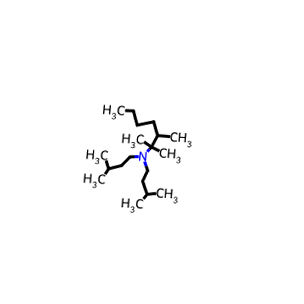 CCCCC(C)C(C)(C)N(CCC(C)C)CCC(C)C